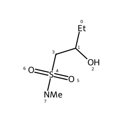 CCC(O)CS(=O)(=O)NC